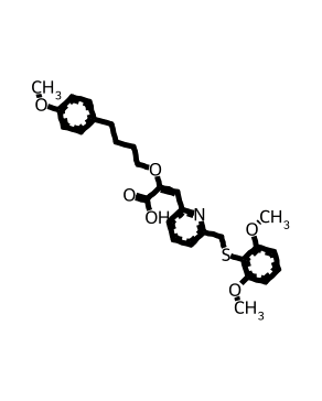 COc1ccc(CCCCO/C(=C/c2cccc(CSc3c(OC)cccc3OC)n2)C(=O)O)cc1